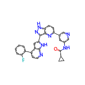 O=C(Nc1cncc(-c2ccc3[nH]nc(-c4cc5c(-c6ccccc6F)ccnc5[nH]4)c3n2)c1)C1CC1